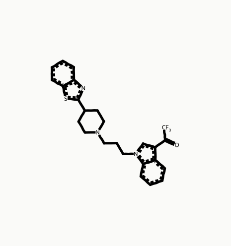 O=C(c1cn(CCCN2CCC(c3nc4ccccc4s3)CC2)c2ccccc12)C(F)(F)F